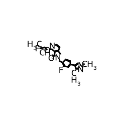 Cc1nn(C)cc1-c1ccc(CN2Cc3ccnc(OCC(C)(C)F)c3C2=O)c(F)c1